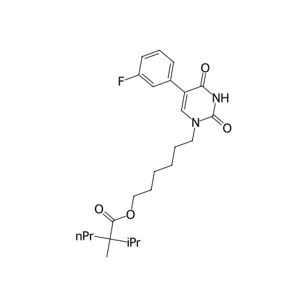 CCCC(C)(C(=O)OCCCCCCn1cc(-c2cccc(F)c2)c(=O)[nH]c1=O)C(C)C